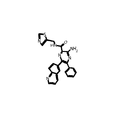 Nc1nc(-c2ccccc2)c(-c2ccc3ncccc3c2)nc1C(=O)NCc1cncs1